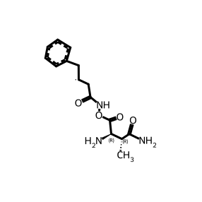 C[C@@H](C(N)=O)[C@@H](N)C(=O)ONC(=O)C[CH]Cc1ccccc1